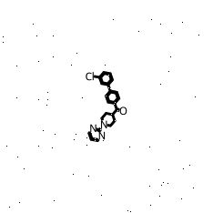 O=C(c1ccc(-c2cccc(Cl)c2)cc1)C1CCN(c2ncccn2)CC1